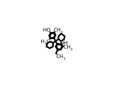 CCc1cc(C)c(O)c(C(c2cc(C)c(O)cc2C)(C2CCCCC2)C2CCCCC2)c1